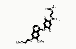 CCN(CC)CCN(C)C1=CC(=O)C(Nc2ncnc3cc(OCCOC)c(OC)cc23)=CC1=O